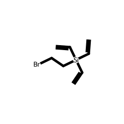 C=C[Si](C=C)(C=C)CCBr